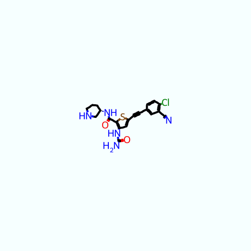 N#Cc1cc(C#Cc2cc(NC(N)=O)c(C(=O)N[C@H]3CCCNC3)s2)ccc1Cl